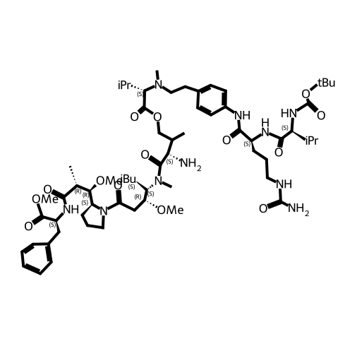 CC[C@H](C)[C@@H]([C@@H](CC(=O)N1CCC[C@H]1[C@H](OC)[C@@H](C)C(=O)N[C@@H](Cc1ccccc1)C(=O)OC)OC)N(C)C(=O)[C@@H](N)C(C)COC(=O)[C@H](C(C)C)N(C)CCc1ccc(NC(=O)[C@H](CCCNC(N)=O)NC(=O)[C@@H](NC(=O)OC(C)(C)C)C(C)C)cc1